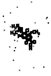 CCn1cc(C(=O)O)c(=O)c2cc(F)c(N3CC(N)C3C)c(Cl)c21